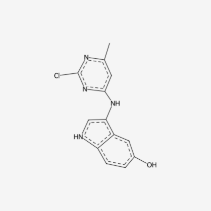 Cc1cc(Nc2c[nH]c3ccc(O)cc23)nc(Cl)n1